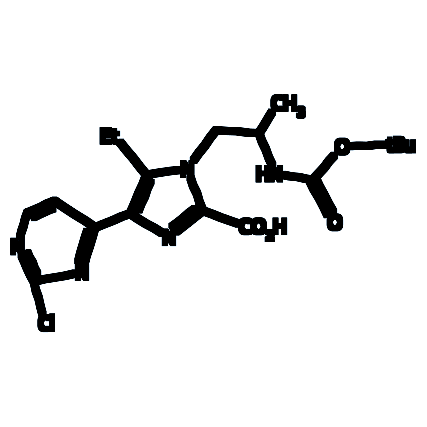 CCc1c(-c2ccnc(Cl)n2)nc(C(=O)O)n1CC(C)NC(=O)OC(C)(C)C